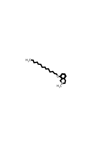 CCCCCCCCCCCCCCOc1cccc2c1CN(C)CC2